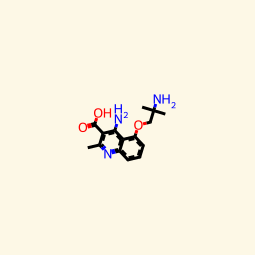 Cc1nc2cccc(OCC(C)(C)N)c2c(N)c1C(=O)O